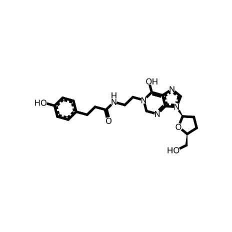 O=C(CCc1ccc(O)cc1)NCCN1CN=c2c(ncn2[C@H]2CC[C@@H](CO)O2)=C1O